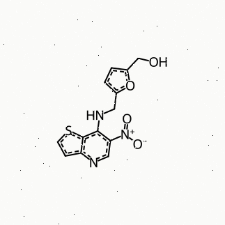 O=[N+]([O-])c1cnc2ccsc2c1NCc1ccc(CO)o1